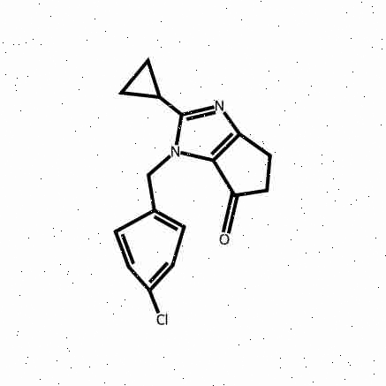 O=C1CCc2nc(C3CC3)n(Cc3ccc(Cl)cc3)c21